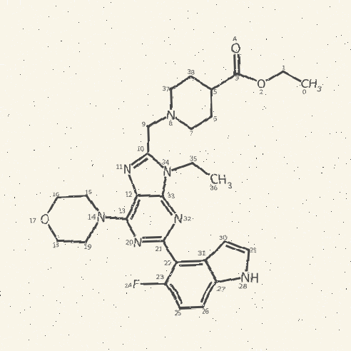 CCOC(=O)C1CCN(Cc2nc3c(N4CCOCC4)nc(-c4c(F)ccc5[nH]ccc45)nc3n2CC)CC1